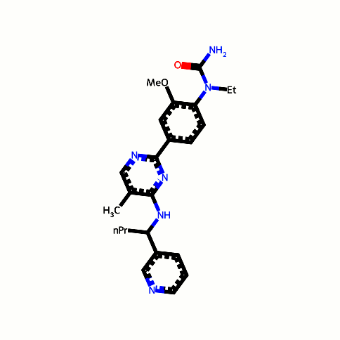 CCCC(Nc1nc(-c2ccc(N(CC)C(N)=O)c(OC)c2)ncc1C)c1cccnc1